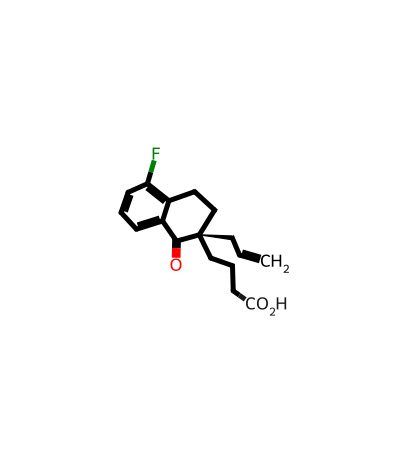 C=CC[C@]1(CCCC(=O)O)CCc2c(F)cccc2C1=O